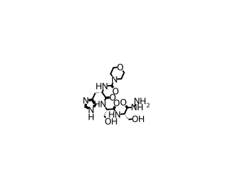 NNC(=O)[C@H](CO)NC(=O)[C@H](CO)NC(=O)[C@H](Cc1c[nH]cn1)NC(=O)N1CCOCC1